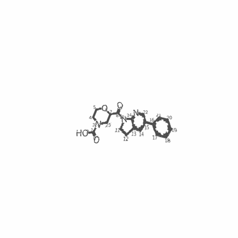 O=C(O)N1CCOC(C(=O)N2CCc3cc(-c4ccccc4)cnc32)C1